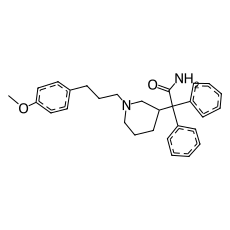 COc1ccc(CCCN2CCCC(C(C(N)=O)(c3ccccc3)c3ccccc3)C2)cc1